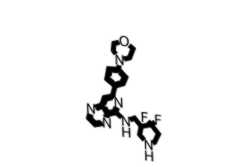 FC1(F)CCNCC1CNc1nc(-c2ccc(N3CCOCC3)cc2)cc2nccnc12